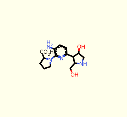 Nc1ccc(C2C(O)CNC2CO)nc1N1CCCC1C(=O)O